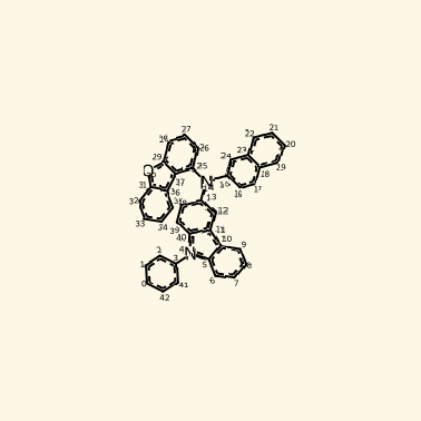 c1ccc(-n2c3ccccc3c3cc(N(c4ccc5ccccc5c4)c4cccc5oc6ccccc6c45)ccc32)cc1